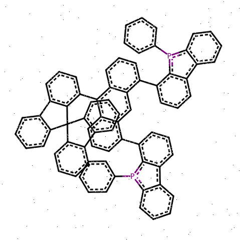 c1ccc(-p2c3ccccc3c3cccc(-c4cccc5c(-c6cccc7c6C6(c8ccccc8-c8ccccc86)c6ccccc6-7)c6cccc(-c7cccc8c9ccccc9p(-c9ccccc9)c78)c6cc45)c32)cc1